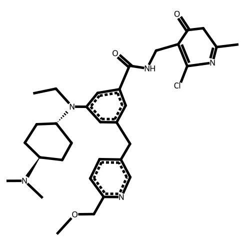 CCN(c1cc(Cc2ccc(COC)nc2)cc(C(=O)NCC2=C(Cl)N=C(C)CC2=O)c1)[C@H]1CC[C@H](N(C)C)CC1